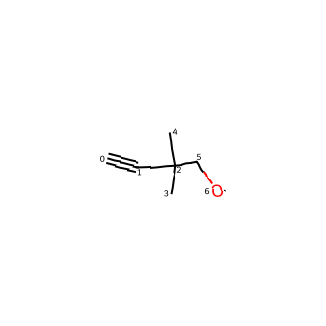 C#CC(C)(C)C[O]